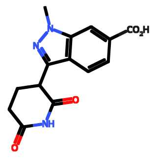 Cn1nc(C2CCC(=O)NC2=O)c2ccc(C(=O)O)cc21